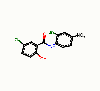 O=C(Nc1ccc([N+](=O)[O-])cc1Br)c1cc(Cl)ccc1O